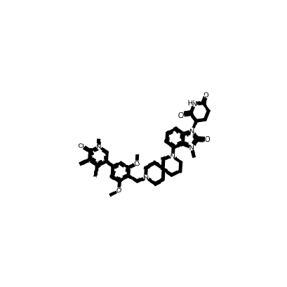 COc1cc(-c2cn(C)c(=O)c(C)c2C)cc(OC)c1CN1CCC2(CCCN(c3cccc4c3n(C)c(=O)n4C3CCC(=O)NC3=O)C2)CC1